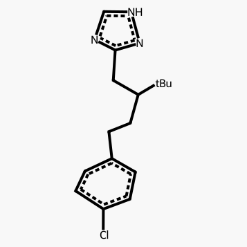 CC(C)(C)C(CCc1ccc(Cl)cc1)Cc1nc[nH]n1